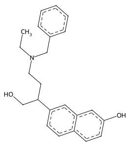 CCN(CCC(CO)c1ccc2ccc(O)cc2c1)Cc1ccccc1